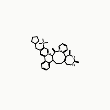 C=C1NCC2=C(C(=C)O1)c1cccc[n+]1C(=C)C1C(CC2)c2ccccc2-c2cc(CC3CCCC3)c([Si](C)(C)C)c[n+]21